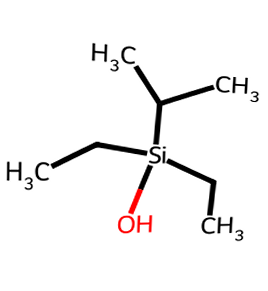 CC[Si](O)(CC)C(C)C